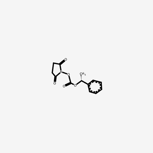 C[C@@H](OC(=O)ON1C(=O)CCC1=O)c1ccccc1